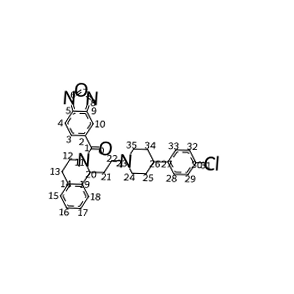 O=C(c1ccc2nonc2c1)N1CCc2ccccc2C1CCN1CCC(c2ccc(Cl)cc2)CC1